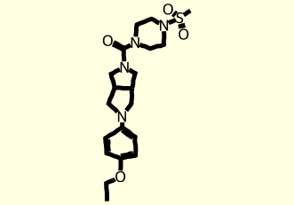 CCOc1ccc(N2CC3CN(C(=O)N4CCN(S(C)(=O)=O)CC4)CC3C2)cc1